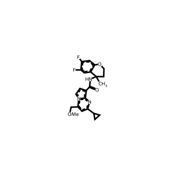 COCc1cc(C2CC2)nc2c(C(=O)NC3(C)CCOc4cc(F)c(F)cc43)ccn12